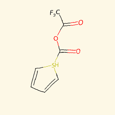 O=C(OC(=O)C(F)(F)F)[SH]1C=CC=C1